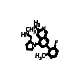 CNC[C@@H]1CCCN1c1cc(-c2c(C)cccc2F)cc2cnc(N)cc12